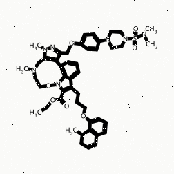 CCOC(=O)c1c(CCCOc2cccc3c2C(C)CC=C3)c2cccc3c2n1CCCN(C)Cc1c-3c(COc2ccc(N3CCN(S(=O)(=O)N(C)C)CC3)cc2)nn1C